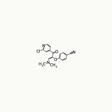 CN(C)/C=C(\Oc1ccc(C#N)cc1)C(=O)c1ccnc(Cl)c1